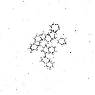 c1ccc(-n2c3ccccc3c3c4sc5ccc6c7ccccc7n(-c7nc(-c8ccc9ccccc9c8)c8ccccc8n7)c6c5c4ccc32)cc1